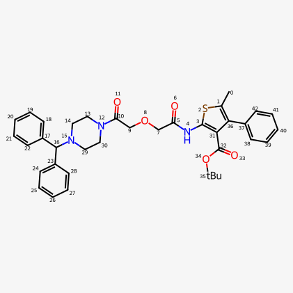 Cc1sc(NC(=O)COCC(=O)N2CCN(C(c3ccccc3)c3ccccc3)CC2)c(C(=O)OC(C)(C)C)c1-c1ccccc1